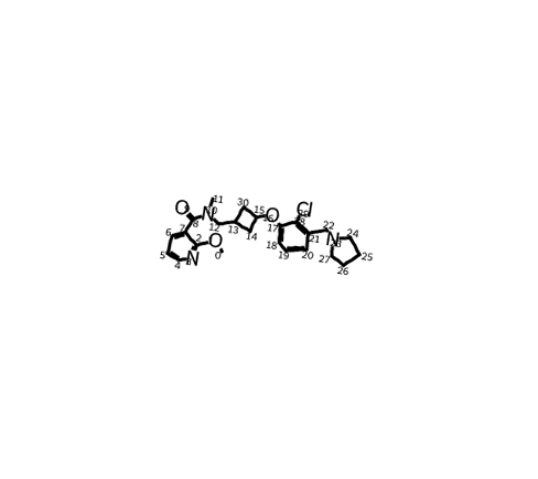 COc1ncccc1C(=O)N(C)CC1CC(Oc2cccc(CN3CCCC3)c2Cl)C1